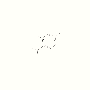 Fc1ccc(C(Br)Br)c(Cl)c1